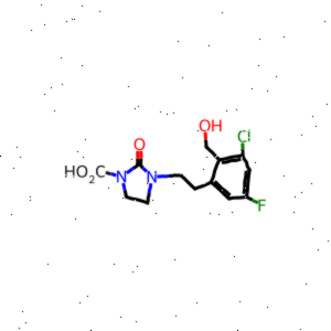 O=C(O)N1CCN(CCc2cc(F)cc(Cl)c2CO)C1=O